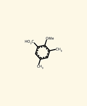 COc1c(C)cc(C)cc1C(=O)O